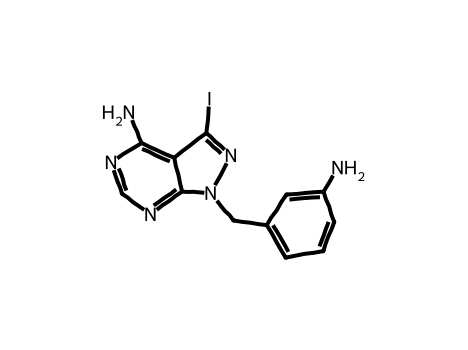 Nc1cccc(Cn2nc(I)c3c(N)ncnc32)c1